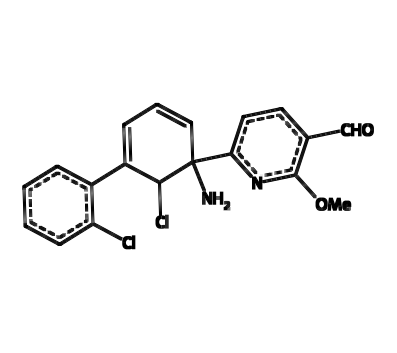 COc1nc(C2(N)C=CC=C(c3ccccc3Cl)C2Cl)ccc1C=O